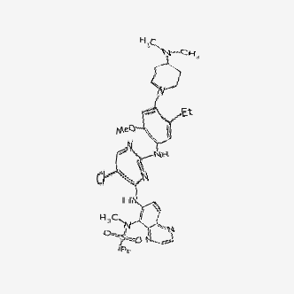 CCc1cc(Nc2ncc(Cl)c(Nc3ccc4nccnc4c3N(C)S(=O)(=O)C(C)C)n2)c(OC)cc1N1CCC(N(C)C)CC1